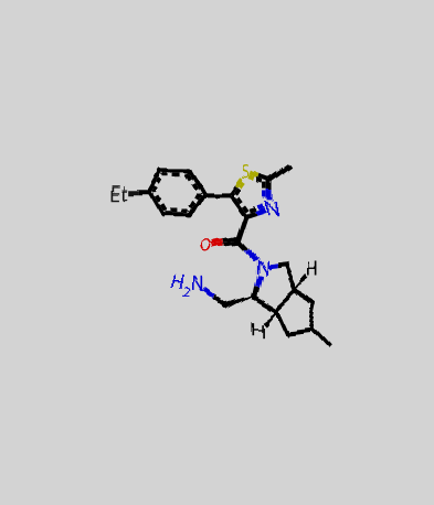 CCc1ccc(-c2sc(C)nc2C(=O)N2C[C@@H]3CC(C)C[C@@H]3[C@H]2CN)cc1